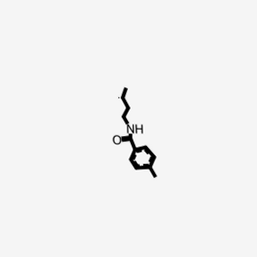 C[CH]CCNC(=O)c1ccc(C)cc1